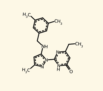 CCc1cc(=O)[nH]c(-n2nc(C)cc2NCc2cc(C)cc(C)c2)n1